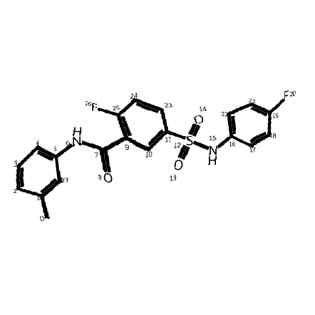 Cc1cccc(NC(=O)c2cc(S(=O)(=O)Nc3ccc(F)cc3)ccc2F)c1